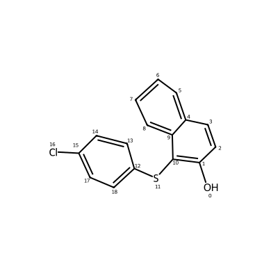 Oc1ccc2ccccc2c1Sc1ccc(Cl)cc1